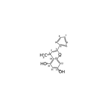 C=C1C=C(c2ccccc2)Oc2cc(O)cc(O)c21